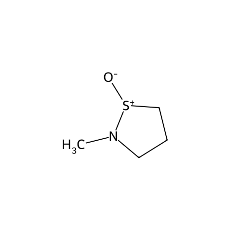 CN1CCC[S+]1[O-]